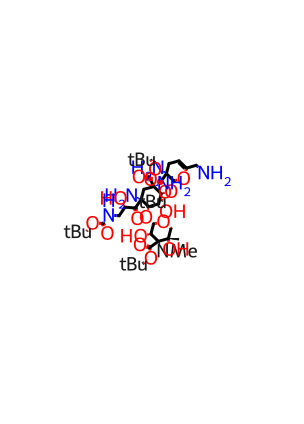 CN[C@]1(C(=O)OC(C)(C)C)[C@@H](O)[C@@H](O[C@@H]2[C@@H](O)[C@H](O[C@H]3OC(CN)=CC[C@]3(N)C(=O)OC(C)(C)C)[C@](N)(C(=O)OC(C)(C)C)C[C@]2(N)C(=O)[C@@H](O)CNC(=O)OC(C)(C)C)OC[C@]1(C)O